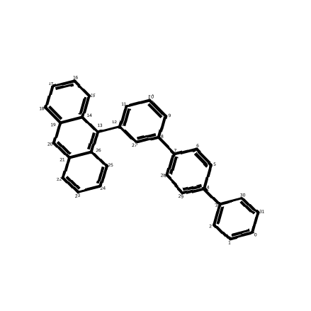 c1ccc(-c2ccc(-c3cccc(-c4c5ccccc5cc5ccccc45)c3)cc2)cc1